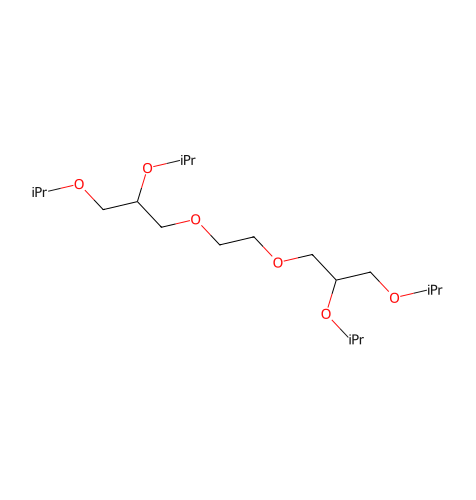 CC(C)OCC(COCCOCC(COC(C)C)OC(C)C)OC(C)C